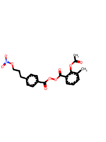 CC(=O)Oc1c(C)cccc1C(=O)OOC(=O)c1ccc(CCCO[N+](=O)[O-])cc1